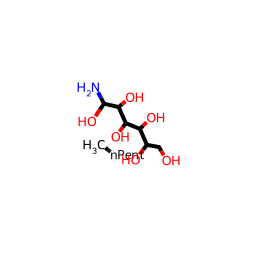 CCCCCC.NC(O)C(O)C(O)C(O)C(O)CO